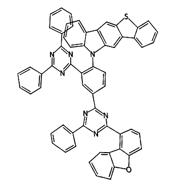 c1ccc(-c2nc(-c3ccccc3)nc(-c3cc(-c4nc(-c5ccccc5)nc(-c5cccc6oc7ccccc7c56)n4)ccc3-n3c4ccccc4c4cc5sc6ccccc6c5cc43)n2)cc1